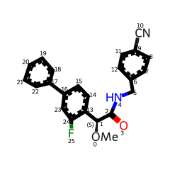 CO[C@H](C(=O)NCc1ccc(C#N)cc1)c1ccc(-c2ccccc2)cc1F